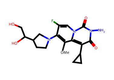 COc1c(N2CCC(C(O)CO)C2)c(F)cn2c(=O)n(N)c(=O)c(C3CC3)c12